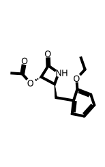 CCOc1ccccc1C[C@@H]1NC(=O)[C@H]1OC(C)=O